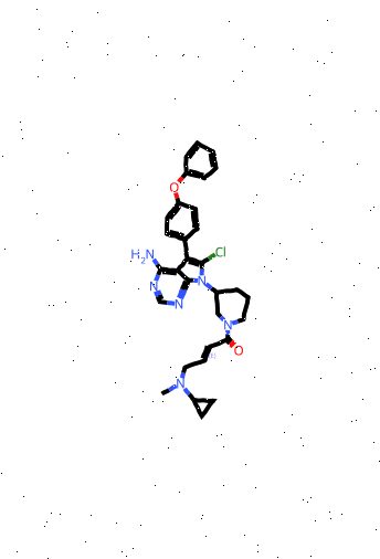 CN(C/C=C/C(=O)N1CCCC(n2c(Cl)c(-c3ccc(Oc4ccccc4)cc3)c3c(N)ncnc32)C1)C1CC1